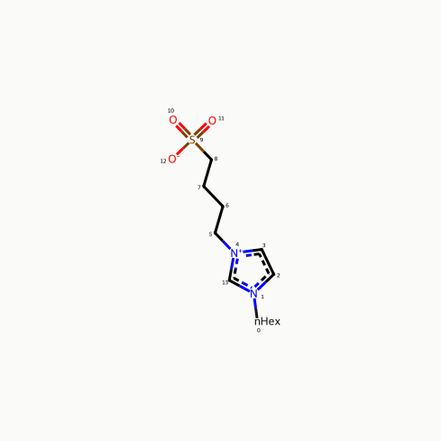 CCCCCCn1cc[n+](CCCCS(=O)(=O)[O-])c1